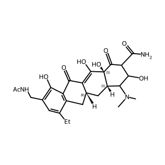 CCc1cc(CNC(C)=O)c(O)c2c1C[C@H]1C[C@H]3C(N(C)C)C(O)C(C(N)=O)C(=O)[C@@]3(O)C(O)=C1C2=O